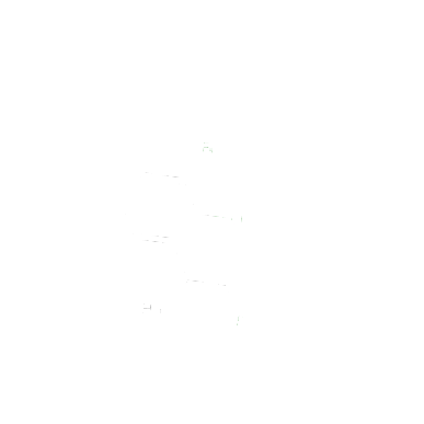 C[C](CF)c1cccc(Br)c1Cl